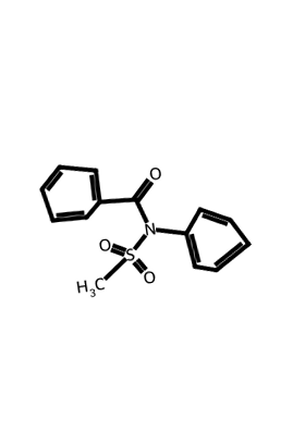 CS(=O)(=O)N(C(=O)c1ccccc1)c1ccccc1